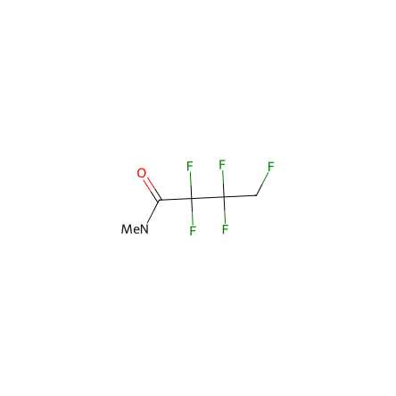 CNC(=O)C(F)(F)C(F)(F)CF